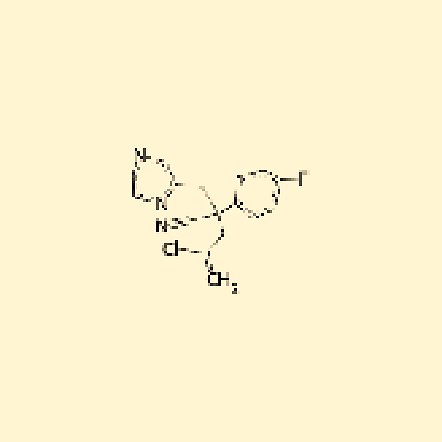 C=C(Cl)CC(C#N)(Cc1cnccn1)c1ccc(F)cc1